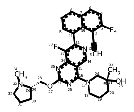 C#Cc1c(F)ccc2cccc(-c3ncc4c(N5CCC[C@@](C)(O)C5)nc(OC[C@@H]5CCCN5C)nc4c3F)c12